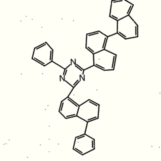 c1ccc(-c2nc(-c3cccc4c(-c5ccccc5)cccc34)nc(-c3cccc4c(-c5cccc6ccccc56)cccc34)n2)cc1